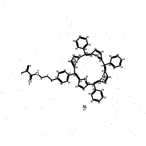 C=C(C)C(=O)OCCCc1ccc(-c2c3nc(c(-c4ccccc4)c4ccc([nH]4)c(-c4ccccc4)c4nc(c(-c5ccccc5)c5ccc2[nH]5)C=C4)C=C3)cc1.[Ni]